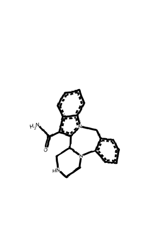 NC(=O)c1c2n(c3ccccc13)Cc1ccccc1N1CCNCC21